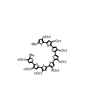 CCCCCCCCc1cc(-c2sc(-c3sc(-c4sc(C(C)(C)C)cc4CCCCCCCC)cc3CCCCCCCC)cc2CCCCCCCC)sc1-c1cc(CCCCCCCC)c(-c2cc(CCCCCCCC)c(-c3cc(CCCCCCCC)c(-c4cc(CCCCCCCC)c(C(C)(C)C)s4)s3)s2)s1